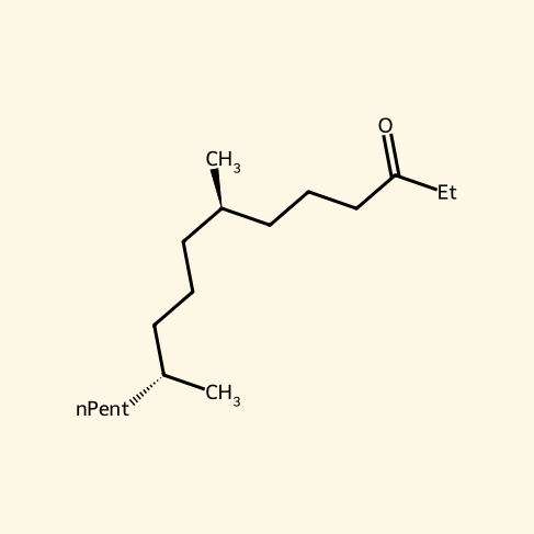 CCCCC[C@@H](C)CCC[C@@H](C)CCCC(=O)CC